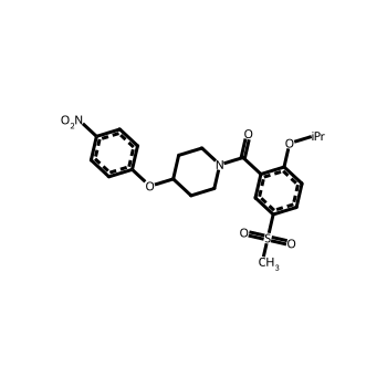 CC(C)Oc1ccc(S(C)(=O)=O)cc1C(=O)N1CCC(Oc2ccc([N+](=O)[O-])cc2)CC1